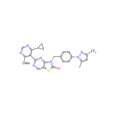 COc1ncnc(C2CC2)c1-c1ncc2sc(=O)n(Cc3ccc(-n4nc(C(F)(F)F)cc4C)cc3)c2n1